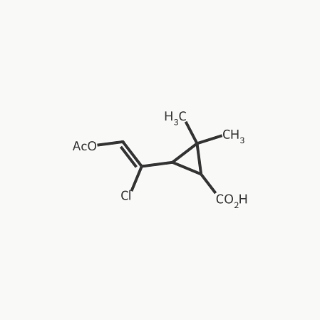 CC(=O)OC=C(Cl)C1C(C(=O)O)C1(C)C